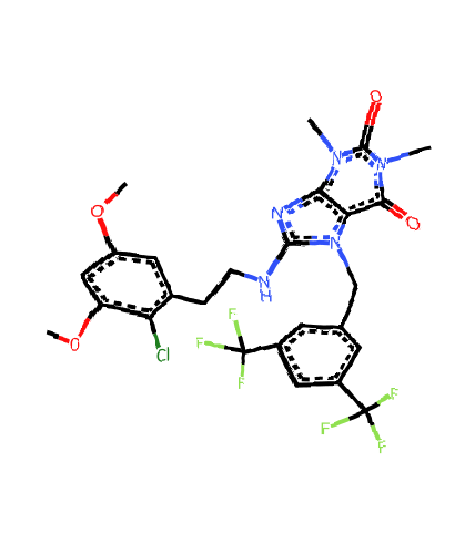 COc1cc(CCNc2nc3c(c(=O)n(C)c(=O)n3C)n2Cc2cc(C(F)(F)F)cc(C(F)(F)F)c2)c(Cl)c(OC)c1